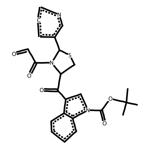 CC(C)(C)OC(=O)n1cc(C(=O)C2CSC(c3cccnc3)N2C(=O)C=O)c2ccccc21